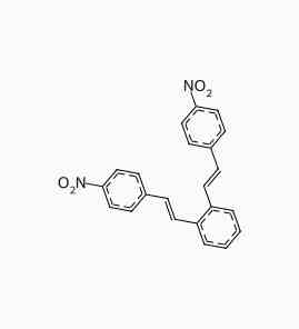 O=[N+]([O-])c1ccc(C=Cc2ccccc2C=Cc2ccc([N+](=O)[O-])cc2)cc1